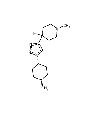 CN1CCC(F)(c2cn([C@H]3CC[C@H](C)CC3)nn2)CC1